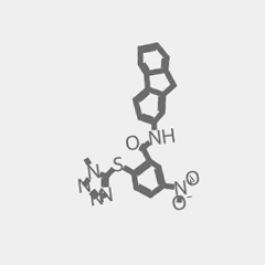 Cn1nnnc1Sc1ccc([N+](=O)[O-])cc1C(=O)Nc1ccc2c(c1)Cc1ccccc1-2